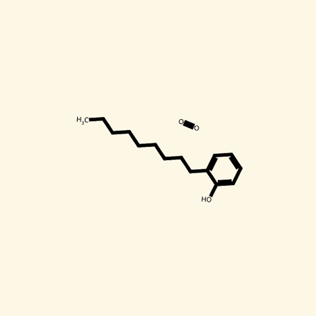 CCCCCCCCCc1ccccc1O.O=O